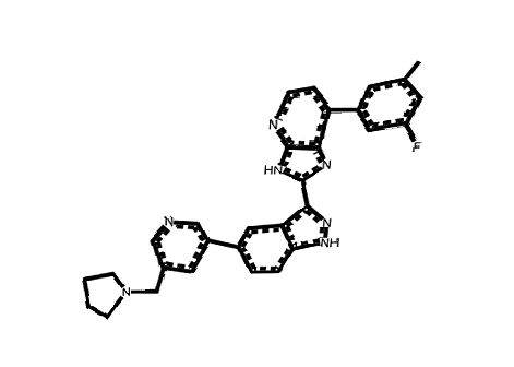 Cc1cc(F)cc(-c2ccnc3[nH]c(-c4n[nH]c5ccc(-c6cncc(CN7CCCC7)c6)cc45)nc23)c1